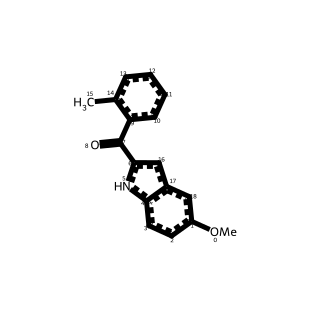 COc1ccc2[nH]c(C(=O)c3ccccc3C)cc2c1